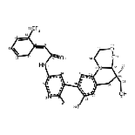 Cc1ncc(NC(=O)/C=C2\CC=CC=C2C(F)(F)F)cc1-c1cc2c(cc1F)C[C@](C)(CO)C1COCCN21